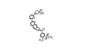 CCC1(O)CCN(c2cccc(-c3ccc4cnc(CNC(=O)c5ccc(C)c(S(C)(=O)=O)c5)cc4n3)n2)C1